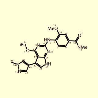 CCC(C)Oc1nc(Nc2ccc(C(=O)NC)cc2OC)nc2[nH]cc(-c3cnn(C)c3)c12